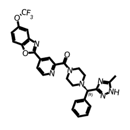 Cc1nc([C@@H](c2ccccc2)N2CCN(C(=O)c3cc(-c4nc5cc(OC(F)(F)F)ccc5o4)ccn3)CC2)n[nH]1